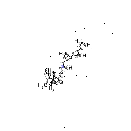 CC(=O)NC(CC(C)C)C(=O)NC(CSC/C=C(\C)CCCC(C)CCCC(C)CCCC(C)C)C(=O)O